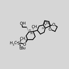 CC(C)(C)[Si](C)(C)OC1CC[C@](C)(C2CC[C@@]3(C)C(CCC34OCCO4)C2)[C@@H](CCO)C1